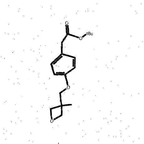 CC1(COc2ccc(CC(=O)OC(C)(C)C)cc2)COC1